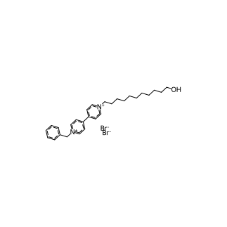 OCCCCCCCCCCC[n+]1ccc(-c2cc[n+](Cc3ccccc3)cc2)cc1.[Br-].[Br-]